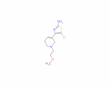 COCCN1CCC=C(c2nc(N)sc2Cl)C1